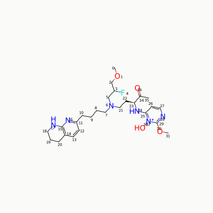 COC[C@@H](F)CN(CCCCc1ccc2c(n1)NCCC2)CC[C@H](Nc1ccnc(OC)[n+]1O)C(C)=O